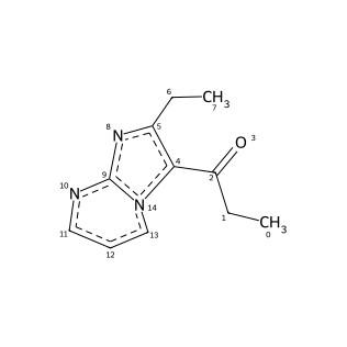 CCC(=O)c1c(CC)nc2ncccn12